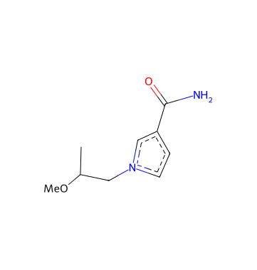 COC(C)Cn1ccc(C(N)=O)c1